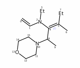 C=CN(CC)/C(=C(/C)CC)C(C)N1CCOCC1